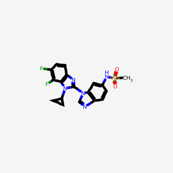 CS(=O)(=O)Nc1ccc2ncn(-c3nc4ccc(F)c(F)c4n3C3CC3)c2c1